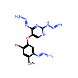 COc1cc(C(C)C)c(OC2=CNC(NN=N)N=C2N=NN)cc1N=NN